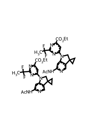 CCOC(=O)c1cc(N2CC3(CC3)c3cnc(NC(C)=O)cc32)nc(C(C)(F)F)n1.CCOC(=O)c1cc(N2CC3(CC3)c3cnc(NC(C)=O)cc32)nc(C(C)(F)F)n1